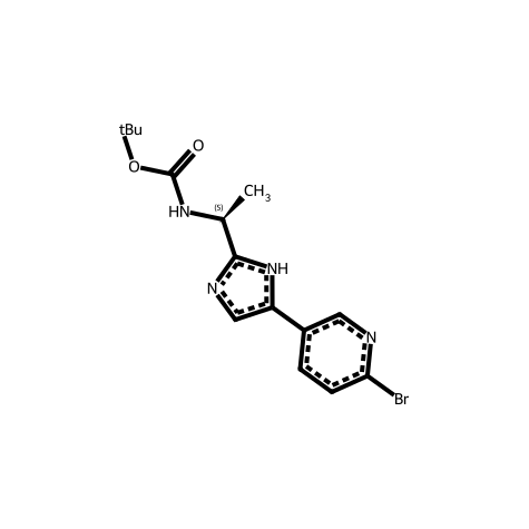 C[C@H](NC(=O)OC(C)(C)C)c1ncc(-c2ccc(Br)nc2)[nH]1